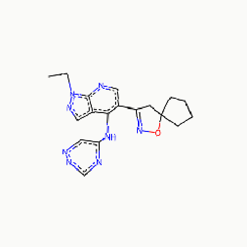 CCn1ncc2c(Nc3cnncn3)c(C3=NOC4(CCCC4)C3)cnc21